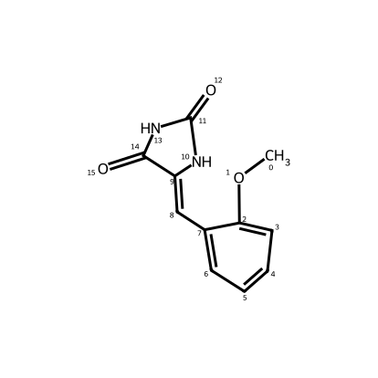 COc1ccccc1C=C1NC(=O)NC1=O